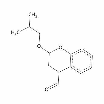 CC(C)COC1CC(C=O)c2ccccc2O1